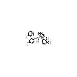 Fc1ccc(CNc2nnnn2-c2cccc(Cl)c2Cl)c(-c2ncccc2F)c1